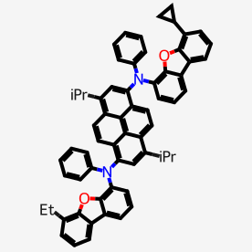 CCc1cccc2c1oc1c(N(c3ccccc3)c3cc(C(C)C)c4ccc5c(N(c6ccccc6)c6cccc7c6oc6c(C8CC8)cccc67)cc(C(C)C)c6ccc3c4c65)cccc12